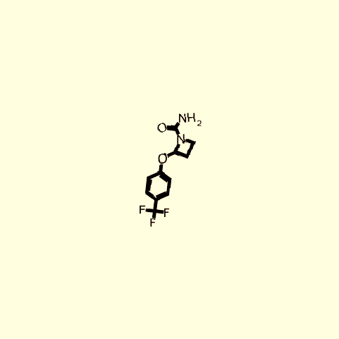 NC(=O)N1CCC1Oc1ccc(C(F)(F)F)cc1